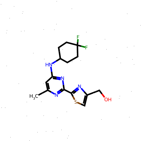 Cc1cc(NC2CCC(F)(F)CC2)nc(-c2nc(CO)cs2)n1